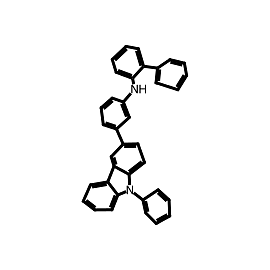 c1ccc(-c2ccccc2Nc2cccc(-c3ccc4c(c3)c3ccccc3n4-c3ccccc3)c2)cc1